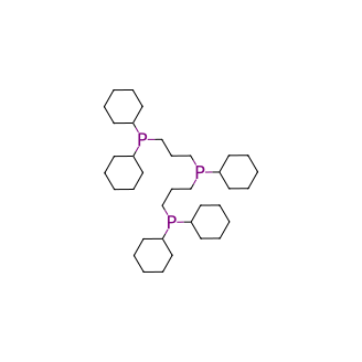 C1CCC(P(CCCP(C2CCCCC2)C2CCCCC2)CCCP(C2CCCCC2)C2CCCCC2)CC1